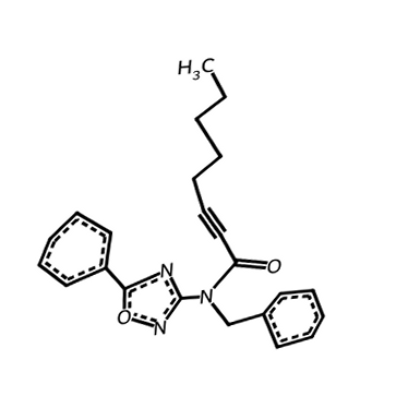 CCCCCC#CC(=O)N(Cc1ccccc1)c1noc(-c2ccccc2)n1